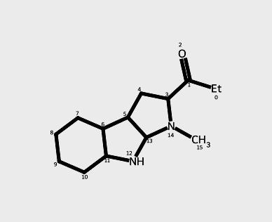 CCC(=O)C1CC2C3CCCCC3NC2N1C